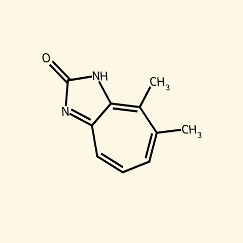 Cc1cccc2nc(=O)[nH]c-2c1C